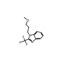 COCCCn1c(C(F)(F)F)nc2ccccc21